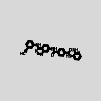 C#Cc1cccc(Nc2ncnc3cc(NC(=O)c4ccc(C(=O)Nc5ccccc5N)cc4)ccc23)c1